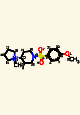 COc1ccc(S(=O)(=O)N2CCC([N+]3(C)CCCC3)CC2)cc1